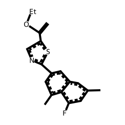 C=C(OCC)c1cnc(-c2cc(C)c3c(F)cc(C)cc3c2)s1